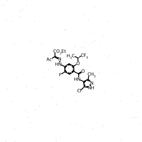 CCOC(=O)C(=NNc1cc(O[C@@H](C)C(F)(F)F)c(C(=O)Nc2c(C)n[nH]c2Cl)cc1F)C(C)=O